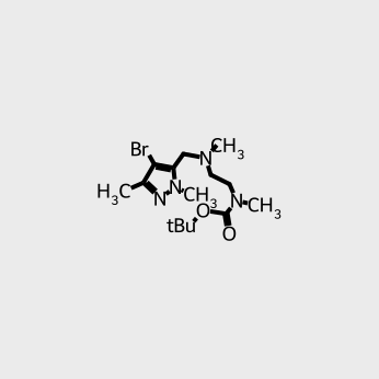 Cc1nn(C)c(CN(C)CCN(C)C(=O)OC(C)(C)C)c1Br